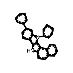 c1ccc(-c2ccc3c4[nH]c5ccc6ccccc6c5c4n(-c4ccccc4)c3c2)cc1